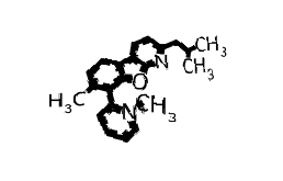 Cc1ccc2c(oc3nc(CC(C)C)ccc32)c1-c1cccc[n+]1C